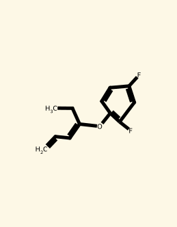 C=C/C=C(\CC)Oc1ccc(F)cc1F